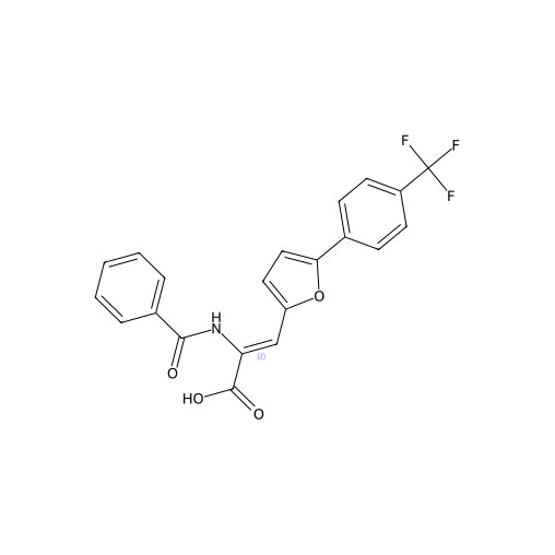 O=C(O)/C(=C/c1ccc(-c2ccc(C(F)(F)F)cc2)o1)NC(=O)c1ccccc1